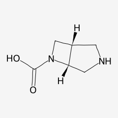 O=C(O)N1C[C@@H]2CNC[C@@H]21